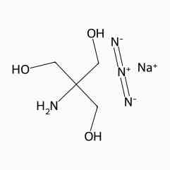 NC(CO)(CO)CO.[N-]=[N+]=[N-].[Na+]